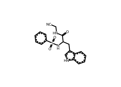 N#CCNC(=O)C(Cc1c[nH]c2ccccc12)NS(=O)(=O)c1ccccc1